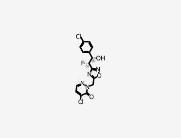 O=c1c(Cl)ccnn1Cc1nc([C@H](F)[C@@H](O)c2ccc(Cl)cc2)no1